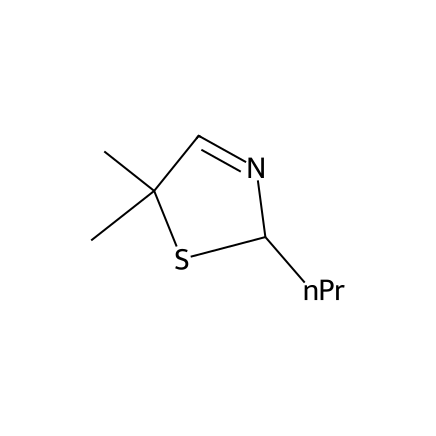 CCCC1N=CC(C)(C)S1